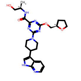 C[C@H](CO)NC(=O)c1nc(OC[C@H]2CCCO2)nc(N2CCC(c3c[nH]c4ncccc34)CC2)n1